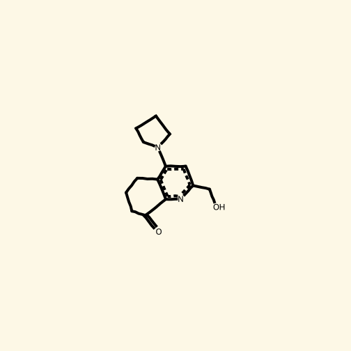 O=C1CCCc2c(N3CCCC3)cc(CO)nc21